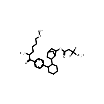 CCCOCCCCC(C)C(=O)c1ccc(C2CCCCC2C2CC3CC(OC(=O)CC(F)(F)S(=O)(=O)O)C2C3)cc1